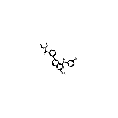 CCN(CC)C(=O)c1cccc(-c2ccc3nc(N)nc(Nc4cccc(Br)c4)c3c2)c1